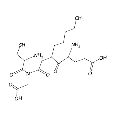 CCCCCC(CC(=O)N(CC(=O)O)C(=O)C(N)CS)C(=O)C(N)CCC(=O)O